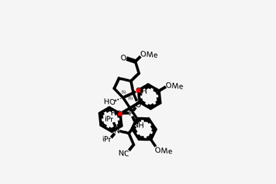 COC(=O)CC1CC[C@](O)(C(c2ccccc2)(c2ccc(OC)cc2)c2ccc(OC)cc2)[C@@]1(O)OP(O)NC(CC#N)N(C(C)C)C(C)C